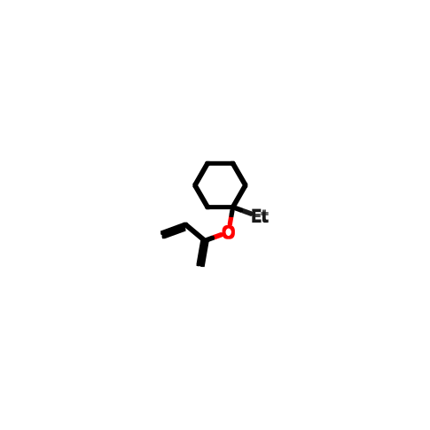 C=CC(=C)OC1(CC)CCCCC1